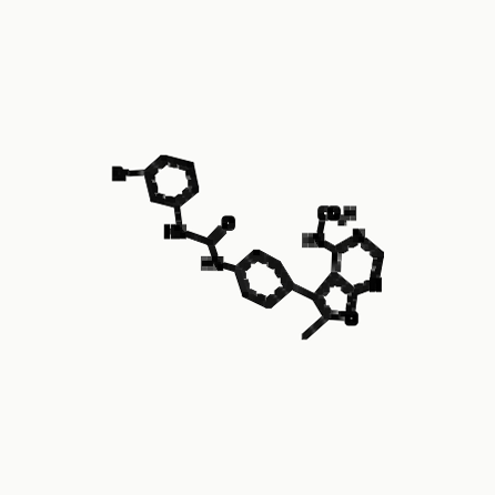 Cc1oc2ncnc(NC(=O)O)c2c1-c1ccc(NC(=O)Nc2cccc(Br)c2)cc1